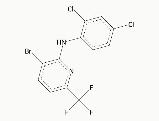 FC(F)(F)c1ccc(Br)c(Nc2ccc(Cl)cc2Cl)n1